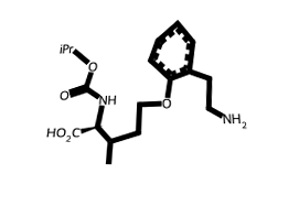 CC(C)OC(=O)N[C@H](C(=O)O)C(C)CCOc1ccccc1CCN